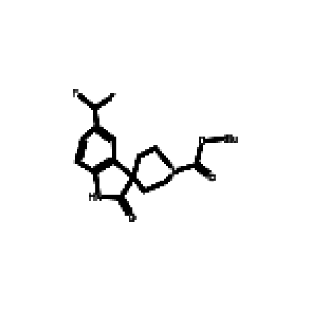 CC(C)(C)OC(=O)N1CCC2(CC1)C(=O)Nc1ccc(C(F)F)cc12